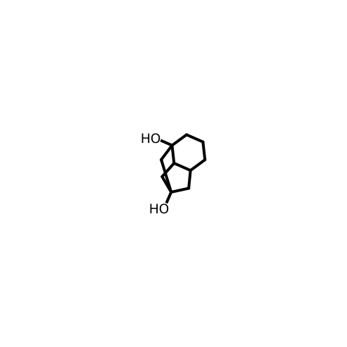 OC12CC3CCCC(O)(C1)C3C2